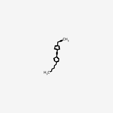 CC#CCc1ccc(C#Cc2ccc(CCCCCC)cc2)cc1